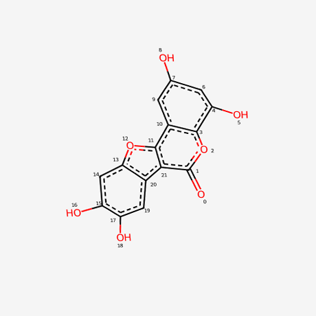 O=c1oc2c(O)cc(O)cc2c2oc3cc(O)c(O)cc3c12